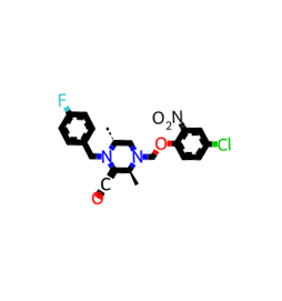 C[C@@H]1CN(COc2ccc(Cl)cc2[N+](=O)[O-])[C@@H](C)C(=C=O)N1Cc1ccc(F)cc1